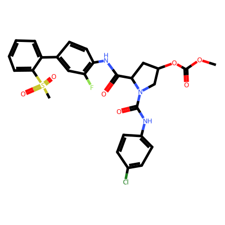 COC(=O)OC1CC(C(=O)Nc2ccc(-c3ccccc3S(C)(=O)=O)cc2F)N(C(=O)Nc2ccc(Cl)cc2)C1